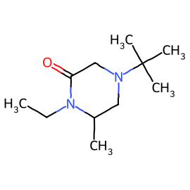 CCN1C(=O)CN(C(C)(C)C)CC1C